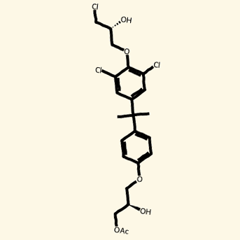 CC(=O)OC[C@H](O)COc1ccc(C(C)(C)c2cc(Cl)c(OC[C@@H](O)CCl)c(Cl)c2)cc1